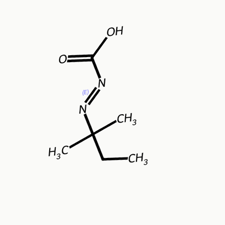 CCC(C)(C)/N=N/C(=O)O